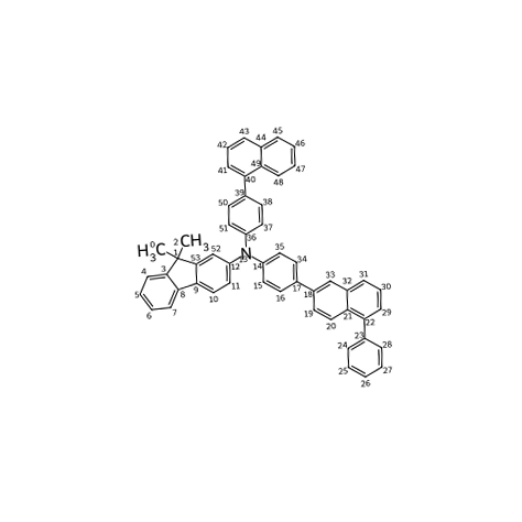 CC1(C)c2ccccc2-c2ccc(N(c3ccc(-c4ccc5c(-c6ccccc6)cccc5c4)cc3)c3ccc(-c4cccc5ccccc45)cc3)cc21